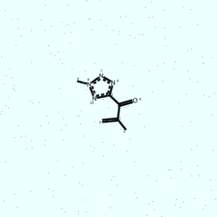 C=C(C)C(=O)c1nnn(C)n1